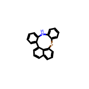 c1ccc2c(c1)Nc1ccccc1-c1cccc3cccc(c13)S2